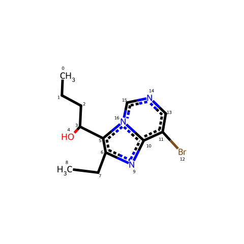 CCCC(O)c1c(CC)nc2c(Br)cncn12